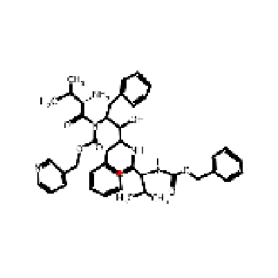 CC(C)[C@H](N)C(=O)N(C(=O)OCc1cccnc1)C(Cc1ccccc1)C(O)C(Cc1ccccc1)NC(=O)[C@@H](NC(=O)OCc1ccccc1)C(C)C